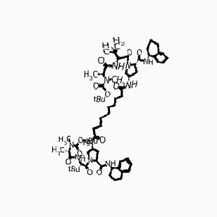 C=C(C)[C@H](NC(=O)[C@H](C)N(C)C(=O)OC(C)(C)C)C(=O)N1C[C@@H](NC(=O)CCCCCCCCC(=O)N[C@H]2CC(C(=O)N[C@@H]3CCCc4ccccc43)N(C(=O)[C@@H](NC(=O)[C@H](C)N(C)C(=O)OC(C)(C)C)C(C)(C)C)C2)C[C@H]1C(=O)N[C@@H]1CCCc2ccccc21